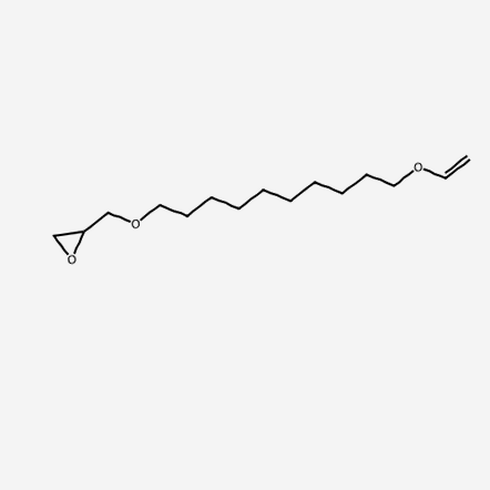 C=COCCCCCCCCCCOCC1CO1